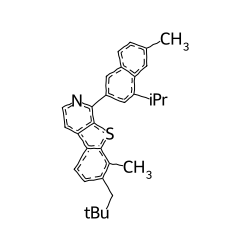 Cc1ccc2cc(-c3nccc4c3sc3c(C)c(CC(C)(C)C)ccc34)cc(C(C)C)c2c1